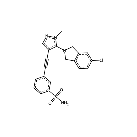 Cn1ncc(C#Cc2cccc(S(N)(=O)=O)c2)c1N1Cc2ccc(Cl)cc2C1